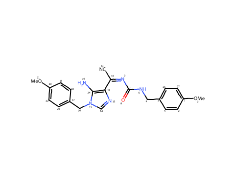 COc1ccc(CNC(=O)N=C(C#N)c2ncn(Cc3ccc(OC)cc3)c2N)cc1